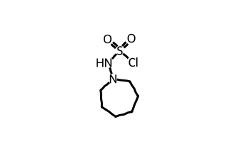 O=S(=O)(Cl)NN1CCCCCC1